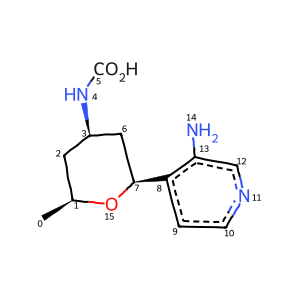 C[C@H]1C[C@@H](NC(=O)O)C[C@@H](c2ccncc2N)O1